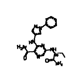 CC[C@@H](Nc1cnc(C(N)=O)c(Nc2cnn(-c3ccccc3)c2)n1)C(N)=O